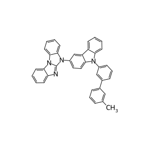 Cc1cccc(-c2cccc(-n3c4ccccc4c4cc(-n5c6ccccc6n6c7ccccc7nc56)ccc43)c2)c1